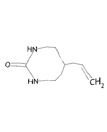 C=CC1CNC(=O)NC1